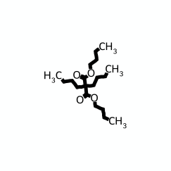 CCCCOC(=O)C(CCCC)(CCCC)C(=O)OCCCC